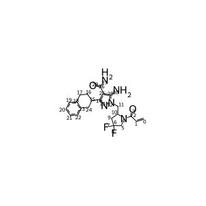 C=CC(=O)N1CC(F)(F)CC1Cn1nc(C2CCc3ccccc3C2)c(C(N)=O)c1N